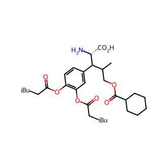 CCC(C)CC(=O)Oc1ccc(C(C(C)COC(=O)C2CCCCC2)[C@H](N)C(=O)O)cc1OC(=O)CC(C)CC